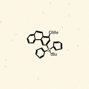 COc1cc([Si](c2ccccc2)(c2ccccc2)C(C)(C)C)cc2c1ccc1ccccc12